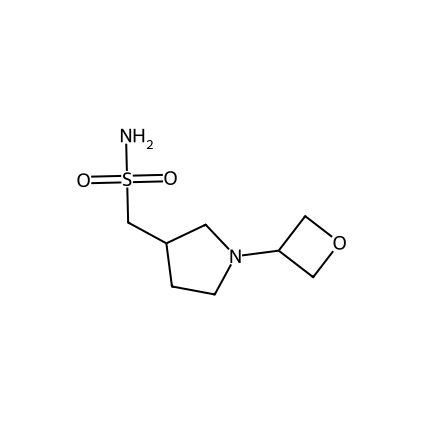 NS(=O)(=O)CC1CCN(C2COC2)C1